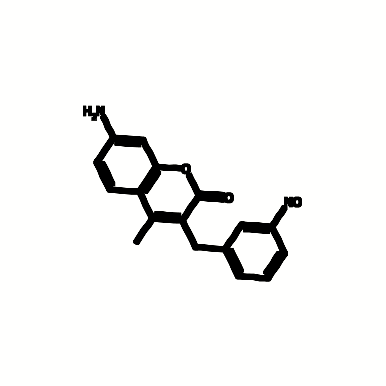 Cc1c(Cc2cccc(N=O)c2)c(=O)oc2cc(N)ccc12